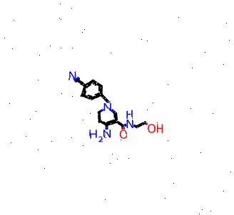 N#Cc1ccc(CN2CCC(N)=C(C(=O)NCCO)C2)cc1